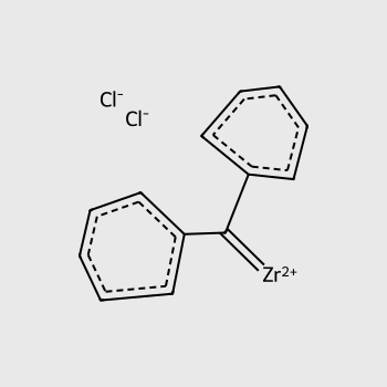 [Cl-].[Cl-].[Zr+2]=[C](c1ccccc1)c1ccccc1